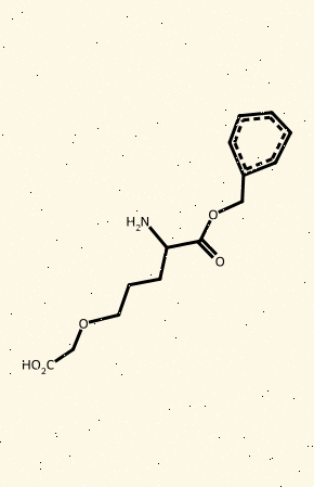 NC(CCCOCC(=O)O)C(=O)OCc1ccccc1